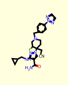 N#CCC1(n2cc(C(N)=O)c(NCC3CC3)n2)CCN(Cc2ccc(-n3nccn3)cc2)CC1F